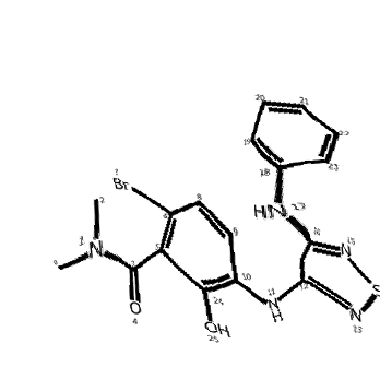 CN(C)C(=O)c1c(Br)ccc(Nc2nsnc2Nc2ccccc2)c1O